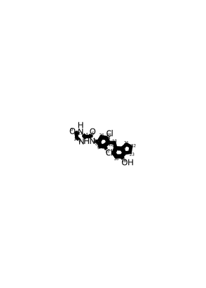 O=C1CN=C(C(=O)Nc2cc(Cl)c(Cc3ccc(O)c4c3CCC4)c(Cl)c2)N1